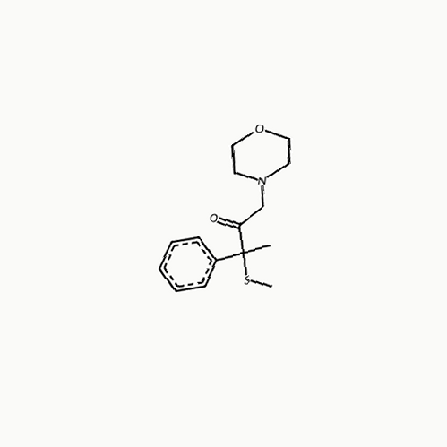 CSC(C)(C(=O)CN1CCOCC1)c1ccccc1